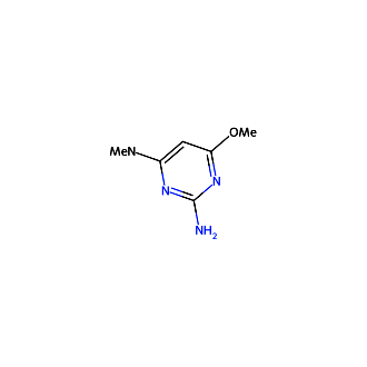 CNc1cc(OC)nc(N)n1